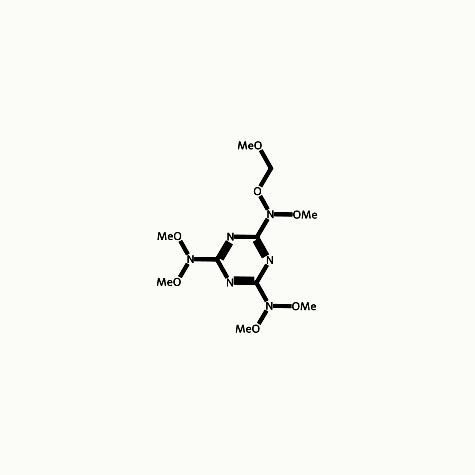 COCON(OC)c1nc(N(OC)OC)nc(N(OC)OC)n1